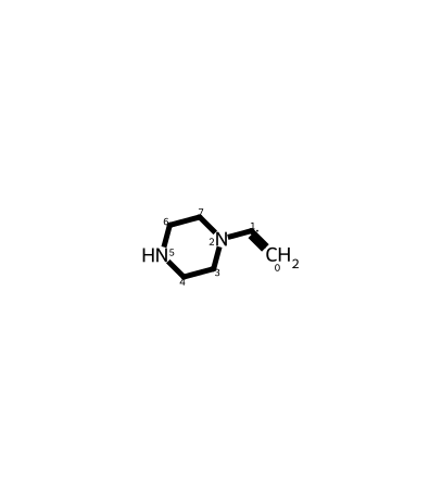 C=[C]N1CCNCC1